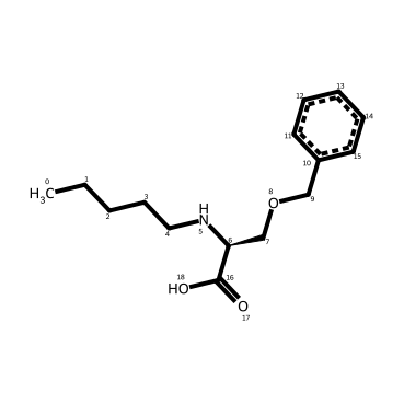 CCCCCN[C@@H](COCc1ccccc1)C(=O)O